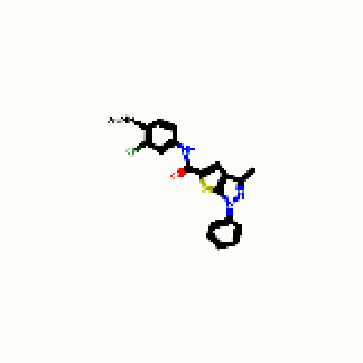 CC(=O)Nc1ccc(NC(=O)c2cc3c(C)nn(-c4ccccc4)c3s2)cc1Cl